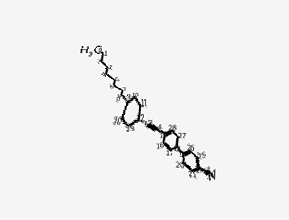 CCCCCCCCC[C@H]1CC[C@H](C#Cc2ccc(-c3ccc(C#N)cc3)cc2)CC1